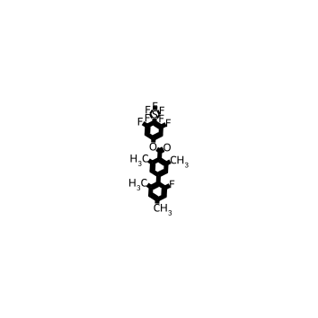 Cc1cc(C)c(-c2cc(C)c(C(=O)Oc3cc(F)c(S(F)(F)(F)(F)F)c(F)c3)c(C)c2)c(F)c1